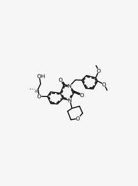 COc1ccc(Cn2c(=O)c3cc(O[C@H](C)CO)ccc3n(C3CCOCC3)c2=O)cc1OC